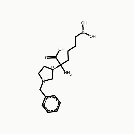 NC(CCCCB(O)O)(C(=O)O)[C@@H]1CCN(Cc2ccccc2)C1